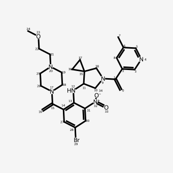 C=C(c1cncc(C)c1)N1CC(Nc2c(C(=C)N3CCN(CCOC)CC3)cc(Br)cc2[N+](=O)[O-])C2(CC2)C1